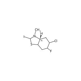 CN1C(I)SC2CC(F)C(Cl)C[C@H]21